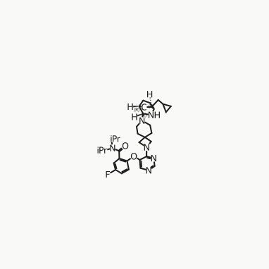 CC(C)N(C(=O)c1cc(F)ccc1Oc1cncnc1N1CC2(CCN([C@H]3NC4CC[C@@H]3C[C@H]4CC3CC3)CC2)C1)C(C)C